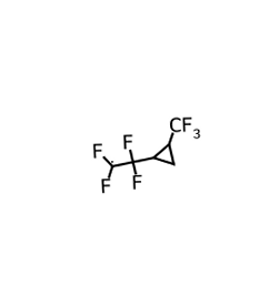 F[C](F)C(F)(F)C1CC1C(F)(F)F